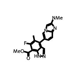 CNc1cn2cc(-c3c(C)c(F)c(C(=O)OC)c4[nH]ncc34)ccc2n1